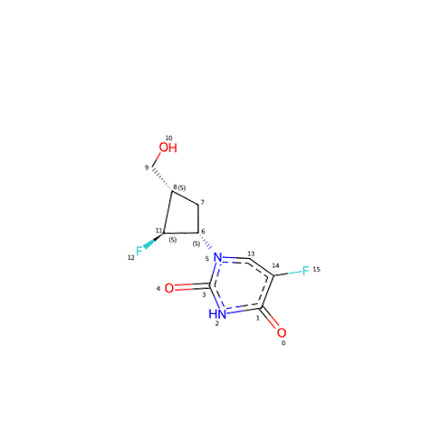 O=c1[nH]c(=O)n([C@H]2C[C@@H](CO)[C@@H]2F)cc1F